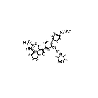 CC(=O)Nc1ccc(-c2ccc(C(=O)N3CC[C@H](C)Nc4ccccc43)cc2OCCN2CCOCC2)cc1